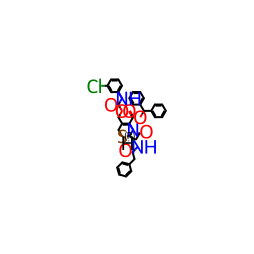 O=C(Cc1ccccc1)NC1C(=O)N2C(C(=O)OC(c3ccccc3)c3ccccc3)=C(COC(=O)Nc3cccc(Cl)c3)CS[C@H]12